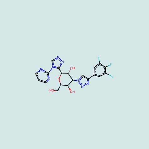 OC[C@H]1O[C@@H](c2nncn2-c2ncccn2)[C@H](O)[C@@H](n2cc(-c3cc(F)c(F)c(F)c3)nn2)[C@H]1O